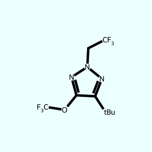 CC(C)(C)c1nn(CC(F)(F)F)nc1OC(F)(F)F